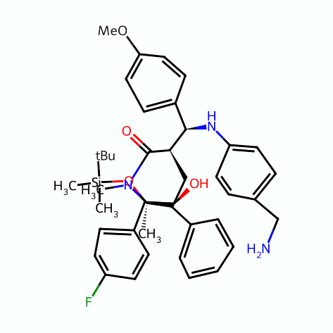 COc1ccc([C@@H](Nc2ccc(CN)cc2)[C@@H](CC[C@H](O[Si](C)(C)C(C)(C)C)c2ccc(F)cc2)C(=O)N(C)[C@@H](C)[C@@H](O)c2ccccc2)cc1